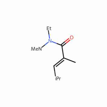 CCN(NC)C(=O)C(C)=CC(C)C